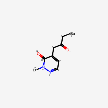 CCC(C)CC(=O)Cc1ccnn(CC)c1=O